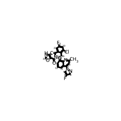 Cc1cc(-n2cc(F)cn2)c2cccc(OCc3c(Cl)cc(F)cc3[C@H](C)NC(=O)c3cnco3)c2n1